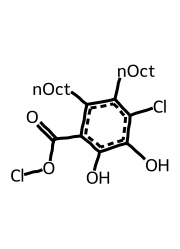 CCCCCCCCc1c(Cl)c(O)c(O)c(C(=O)OCl)c1CCCCCCCC